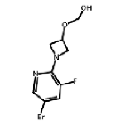 OCOC1CN(c2ncc(Br)cc2F)C1